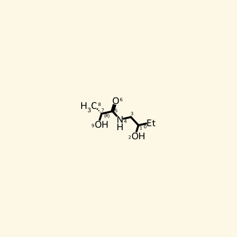 CCC(O)CNC(=O)[C@@H](C)O